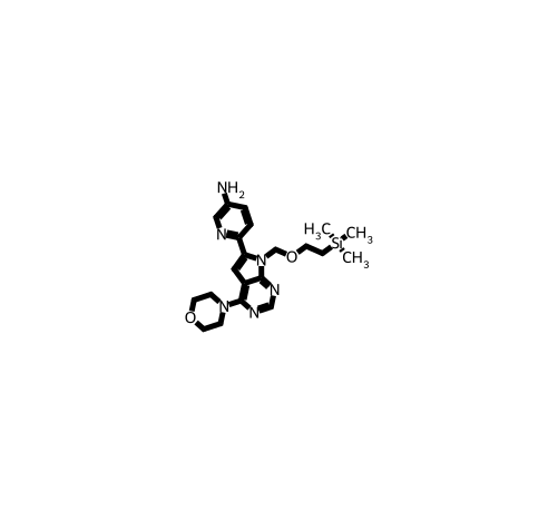 C[Si](C)(C)CCOCn1c(-c2ccc(N)cn2)cc2c(N3CCOCC3)ncnc21